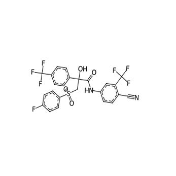 N#Cc1ccc(NC(=O)C(O)(CS(=O)(=O)c2ccc(F)cc2)c2ccc(C(F)(F)F)cc2)cc1C(F)(F)F